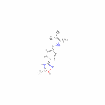 CSC(NCc1ccc(-c2noc(C(F)(F)F)n2)cc1)=C(C#N)C#N